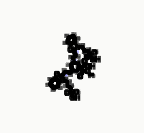 CCOC(=O)C1(C(=O)O)CC(/C=C/c2oc3ccccc3[n+]2CCCS(=O)(=O)O)=CC(=C/C=C2\Oc3ccccc3N2CCCS(=O)(=O)O)/C1